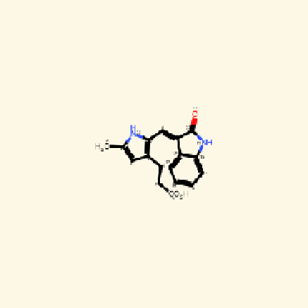 Cc1cc(CCC(=O)O)c(C=C2C(=O)Nc3ccccc32)[nH]1